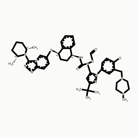 C[C@@H]1CCC[C@H](C)N1c1nnc2ccc(O[C@@H]3CC[C@H](NC(=O)N(OC=O)c4cc(C(C)(C)C)nn4-c4ccc(Cl)c(CN5CCN(C)CC5)c4)c4ccccc43)cn12